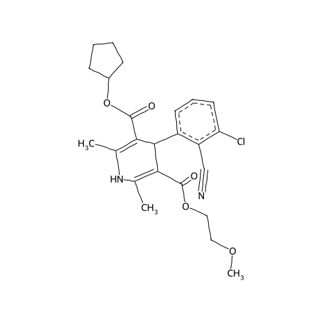 COCCOC(=O)C1=C(C)NC(C)=C(C(=O)OC2CCCC2)C1c1cccc(Cl)c1C#N